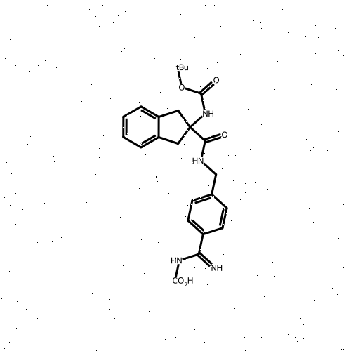 CC(C)(C)OC(=O)NC1(C(=O)NCc2ccc(C(=N)NC(=O)O)cc2)Cc2ccccc2C1